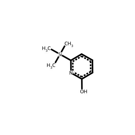 C[Si](C)(C)c1cccc(O)n1